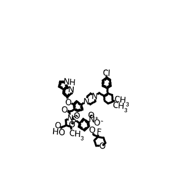 CCC(CN(C(=O)c1ccc(N2CCN(CC3=C(c4ccc(Cl)cc4)CC(C)(C)CC3)CC2)cc1Oc1cnc2[nH]ccc2c1)S(=O)(=O)c1ccc(OCC2(F)CCOCC2)c([N+](=O)[O-])c1)C(=O)O